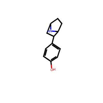 Oc1ccc(C2CC3CCC2N3)cc1